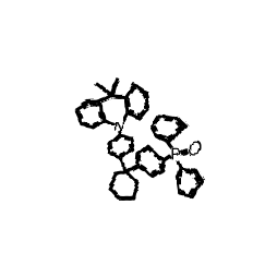 CC1(C)c2ccccc2N(c2ccc(C3(c4ccc(P(=O)(c5ccccc5)c5ccccc5)cc4)CCCCC3)cc2)c2ccccc21